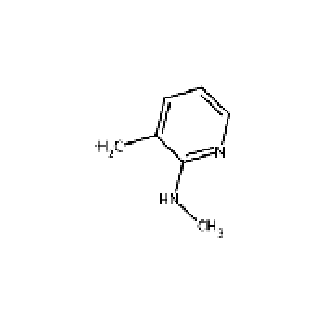 [CH2]c1cccnc1NC